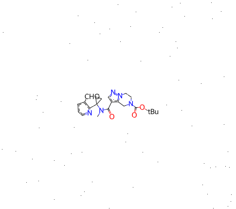 CN(C(=O)c1cnn2c1CN(C(=O)OC(C)(C)C)CC2)C1(c2ncccc2C=O)CC1